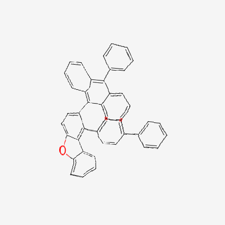 c1ccc(-c2ccc(-c3c(-c4c5ccccc5c(-c5ccccc5)c5ccccc45)ccc4oc5ccccc5c34)cc2)cc1